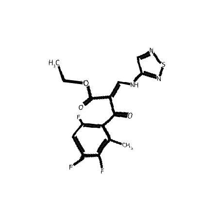 CCOC(=O)/C(=C/Nc1cnsn1)C(=O)c1c(F)cc(F)c(F)c1C